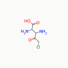 NC(C(=O)O)C(N)C(=O)CCl